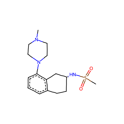 CN1CCN(c2cccc3c2C[C@H](NS(C)(=O)=O)CC3)CC1